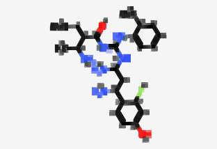 CNCC(C(=O)/N=C(\Nc1ccccc1SC)NC(N)CC(N)c1ccc(O)cc1F)C(N)C(F)(F)F